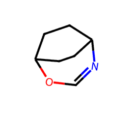 C1=NC2CCC(CC2)O1